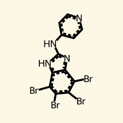 Brc1c(Br)c(Br)c2[nH]c(Nc3ccncc3)nc2c1Br